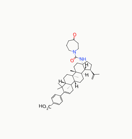 C=C(C)[C@@H]1CC[C@]2(NC(=O)N3CCCC(=O)CC3)CC[C@]3(C)[C@H](CC[C@@H]4[C@@]5(C)CC=C(c6ccc(C(=O)O)cc6)C(C)(C)[C@@H]5CC[C@]43C)[C@@H]12